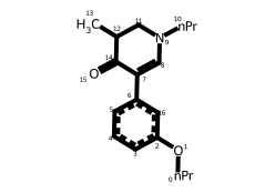 CCCOc1cccc(C2=CN(CCC)CC(C)C2=O)c1